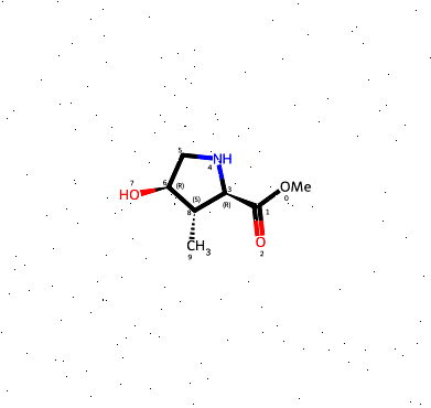 COC(=O)[C@@H]1NC[C@H](O)[C@H]1C